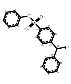 O=S(=O)(Oc1ccccc1)c1ccc(C(I)c2ccccc2)cc1